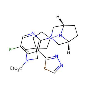 CCOC(=O)N1CC2(CC[C@H](N3[C@@H]4CC[C@H]3CN(c3ncc(F)cc3-c3nncs3)C4)C2)C1